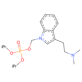 CC(C)OP(=O)(OCn1cc(CCN(C)C)c2ccccc21)OC(C)C